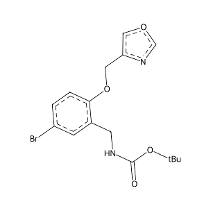 CC(C)(C)OC(=O)NCc1cc(Br)ccc1OCc1cocn1